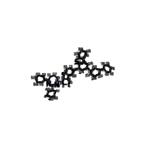 C1=C(c2cccc3c2sc2ccc(-c4cc(-c5cccc(-c6ccccc6)c5)cc5c4sc4ccccc45)cc23)/N=C(c2ccccc2)\N=C(\c2ccccc2)CC\1